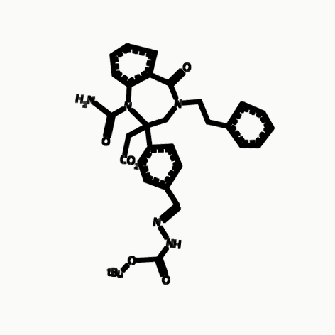 CC(C)(C)OC(=O)NN=Cc1ccc(C2(CC(=O)O)CN(CCc3ccccc3)C(=O)c3ccccc3N2C(N)=O)cc1